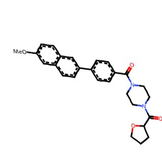 COc1ccc2cc(-c3ccc(C(=O)N4CCN(C(=O)C5CCCO5)CC4)cc3)ccc2c1